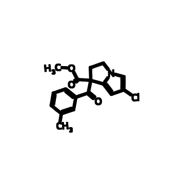 COC(=O)C1(C(=O)c2cccc(C)c2)CCn2cc(Cl)cc21